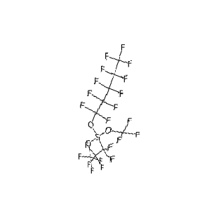 FC(F)(F)O[Si](OC(F)(F)F)(OC(F)(F)C(F)(F)C(F)(F)C(F)(F)C(F)(F)F)C(F)(F)C(F)(F)F